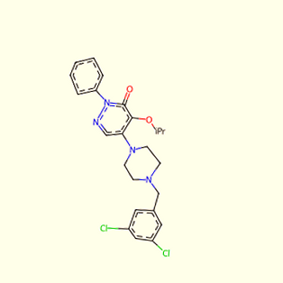 CC(C)Oc1c(N2CCN(Cc3cc(Cl)cc(Cl)c3)CC2)cnn(-c2ccccc2)c1=O